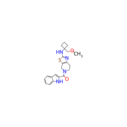 COCC1(Nc2nc3c(s2)CN(C(=O)c2cc4ccccc4[nH]2)CC3)CCC1